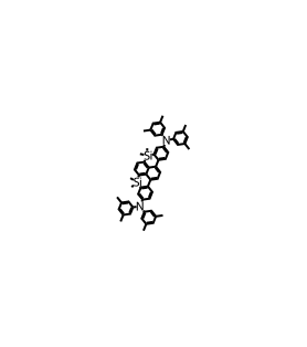 Cc1cc(C)cc(N(c2cc(C)cc(C)c2)c2ccc3c(c2)[Si](C)(C)c2ccc4c5c(ccc-3c25)-c2ccc(N(c3cc(C)cc(C)c3)c3cc(C)cc(C)c3)cc2[Si]4(C)C)c1